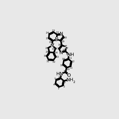 Nc1ccccc1NC(=O)c1ccc(Nc2ncc(-c3cnc4cccc(N5Cc6ccccc6C5)n34)s2)cc1